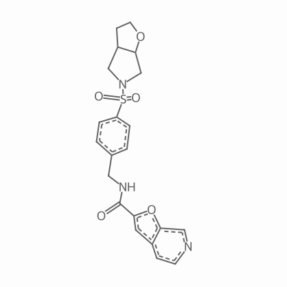 O=C(NCc1ccc(S(=O)(=O)N2CC3CCOC3C2)cc1)c1cc2ccncc2o1